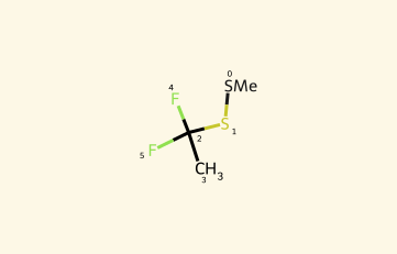 CSSC(C)(F)F